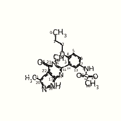 CCCOc1ccc(NS(C)(=O)=O)cc1-c1nc2[nH]nc(C)c2c(=O)n1C